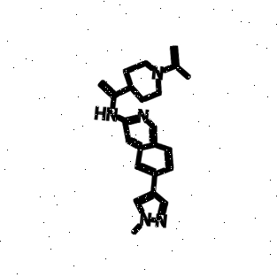 C=C(Nc1cc2cc(-c3cnn(C)c3)ccc2cn1)C1CCN(C(=C)C)CC1